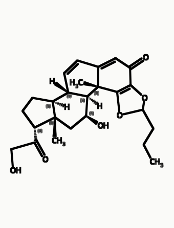 CCCC1OC2=C(O1)[C@@]1(C)C(=CC2=O)C=C[C@@H]2[C@@H]1[C@@H](O)C[C@]1(C)[C@H](C(=O)CO)CC[C@@H]21